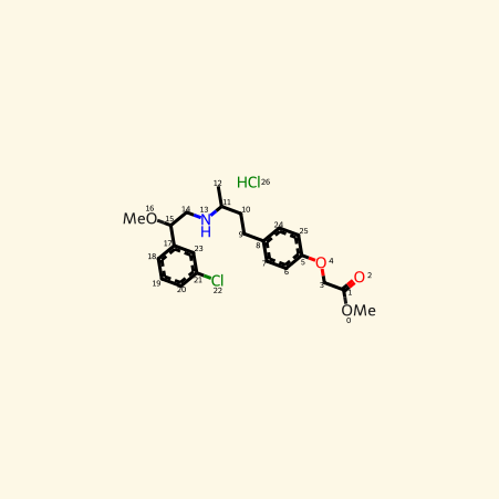 COC(=O)COc1ccc(CCC(C)NCC(OC)c2cccc(Cl)c2)cc1.Cl